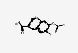 CNC(=O)c1cnc2cc(OC(F)F)c(F)cc2c1